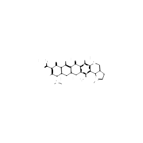 CCN(C)[C@@H]1C(O)=C(C(N)=O)C(=O)[C@@]2(O)C(O)=C3C(=O)c4c(O)c5c(c(OC)c4C[C@H]3C[C@@H]12)C1C(CCN1C)CN5